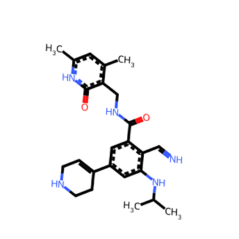 Cc1cc(C)c(CNC(=O)c2cc(C3=CCNCC3)cc(NC(C)C)c2C=N)c(=O)[nH]1